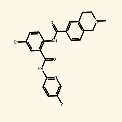 CN1CCc2cc(C(=O)Nc3ccc(Br)cc3C(=O)Nc3ccc(Cl)cn3)ccc2C1